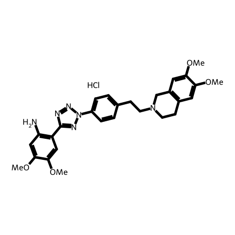 COc1cc(N)c(-c2nnn(-c3ccc(CCN4CCc5cc(OC)c(OC)cc5C4)cc3)n2)cc1OC.Cl